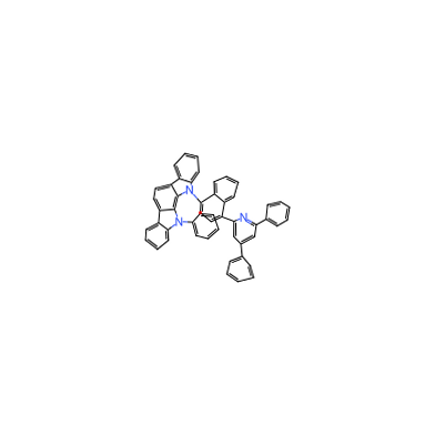 c1ccc(-c2cc(-c3ccccc3)nc(-c3ccc(-n4c5ccccc5c5ccc6c7ccccc7n(-c7ccccc7)c6c54)c4ccccc34)c2)cc1